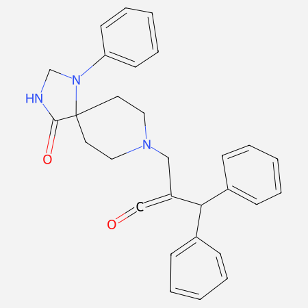 O=C=C(CN1CCC2(CC1)C(=O)NCN2c1ccccc1)C(c1ccccc1)c1ccccc1